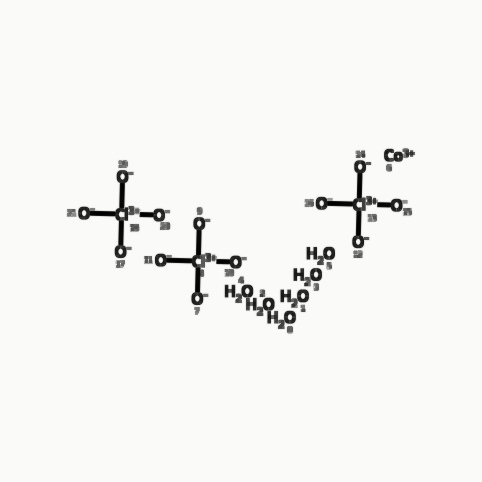 O.O.O.O.O.O.[Co+3].[O-][Cl+3]([O-])([O-])[O-].[O-][Cl+3]([O-])([O-])[O-].[O-][Cl+3]([O-])([O-])[O-]